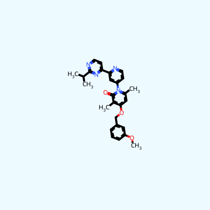 COc1cccc(COc2cc(C)n(-c3ccnc(-c4ccnc(C(C)C)n4)c3)c(=O)c2C)c1